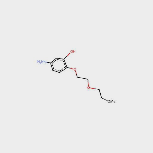 COCCOCCOc1ccc(N)cc1O